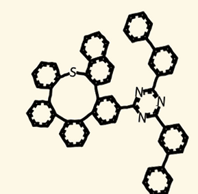 c1ccc(-c2cccc(-c3nc(-c4cccc(-c5ccccc5)c4)nc(-c4ccc5c(c4)-c4ccc6ccccc6c4Sc4ccccc4-c4ccccc4-c4ccccc4-5)n3)c2)cc1